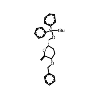 C=C1O[C@H](CO[Si](c2ccccc2)(c2ccccc2)C(C)(C)C)CC[C@H]1OCc1ccccc1